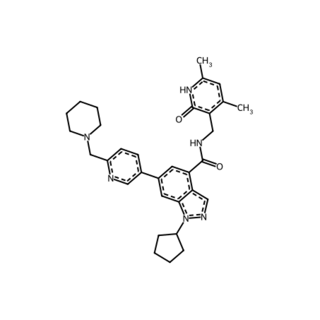 Cc1cc(C)c(CNC(=O)c2cc(-c3ccc(CN4CCCCC4)nc3)cc3c2cnn3C2CCCC2)c(=O)[nH]1